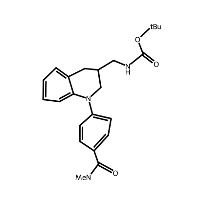 CNC(=O)c1ccc(N2CC(CNC(=O)OC(C)(C)C)Cc3ccccc32)cc1